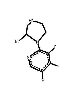 CCC1CNCCN1c1n[c]c(F)c(F)c1F